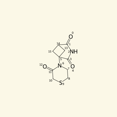 O=C1NC(=O)C2(N3CCSCC3=O)CC1C2